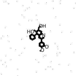 COc1ccc(-c2cnc3cc(CO)c(CO)c(-c4ccccc4)c3c2)cc1OC